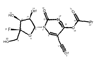 C#Cc1cn([C@@H]2O[C@](F)(CO)[C@@H](O)[C@H]2O)c(=O)nc1OC(=O)C(C)C